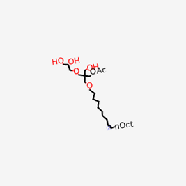 CCCCCCCC/C=C\CCCCCCCCOCC(CO)(COCC(O)CO)COC(C)=O